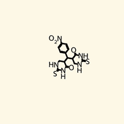 O=C1NC(=S)NCC1C(c1ccc([N+](=O)[O-])cc1)C1CNC(=S)NC1=O